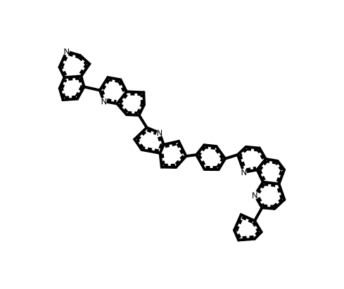 c1ccc(-c2ccc3ccc4ccc(-c5ccc(-c6ccc7ccc(-c8ccc9ccc(-c%10cccc%11cnccc%10%11)nc9c8)nc7c6)cc5)nc4c3n2)cc1